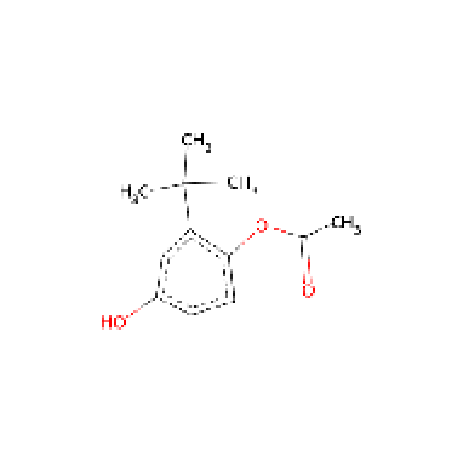 CC(=O)Oc1ccc(O)cc1C(C)(C)C